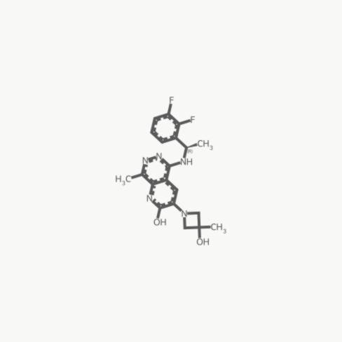 Cc1nnc(N[C@H](C)c2cccc(F)c2F)c2cc(N3CC(C)(O)C3)c(O)nc12